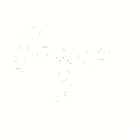 CC1(C)C2=CC=CCC2c2ccc(N(C3=NC(c4ccc(-c5c6c(cc7ccccc57)C(C)(C)C5C=CC=CC65C)cc4)C=C3)c3ccc4c(c3)C(C)(C)c3ccccc3-4)cc21